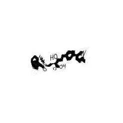 Cc1ccc(-c2ccc(CC[C@@H](O)[C@H](CCn3nnc4ccccc4c3=O)C(=O)O)cc2)cn1